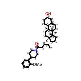 COc1ccccc1C1CCN(C(=O)CCC(C)[C@H]2CC[C@H]3[C@@H]4CC=C5C[C@@H](O)CC[C@]5(C)[C@H]4CC[C@]23C)CC1